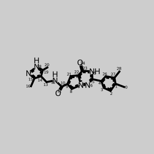 Cc1ccc(-c2nn3cc(C(=O)NCc4c(C)n[nH]c4C)cc3c(=O)[nH]2)cc1C